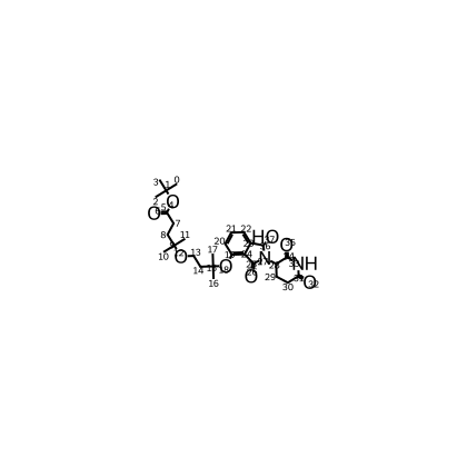 CC(C)(C)OC(=O)CCC(C)(C)OCCC(C)(C)Oc1cccc2c1C(=O)N(C1CCC(=O)NC1=O)C2O